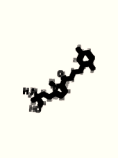 Cc1ccc(C)c(CCCC(=O)c2ccc(CCC(C)(N)CO)n2C)c1